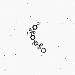 O=C(NC1CCCCC1)c1coc(-c2ccc(NS(=O)(=O)c3ccc(Cl)cc3)cc2)n1